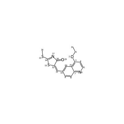 CCOc1ccnc2ccc(C=C3SC(SC)=NC3=O)cc12